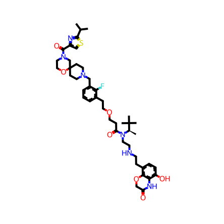 CC(C)c1nc(C(=O)N2CCOC3(CCN(Cc4cccc(CCOCCC(=O)N(CCNCCc5ccc(O)c6c5OCC(=O)N6)[C@H](C)C(C)(C)C)c4F)CC3)C2)cs1